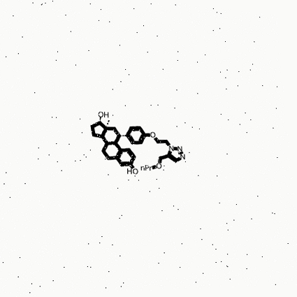 CCCOCc1cnnn1CCOc1ccc([C@H]2C[C@@]3(C)C(CC[C@@H]3O)C3CCc4cc(O)ccc4C32)cc1